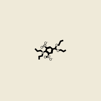 CCCOC(OCCC)c1cc([N+](=O)[O-])c(N(CCC)CCC)c([N+](=O)[O-])c1